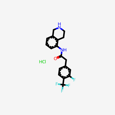 Cl.O=C(Cc1ccc(C(F)(F)F)c(F)c1)Nc1cccc2c1CCNC2